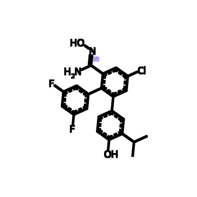 CC(C)c1cc(-c2cc(Cl)cc(/C(N)=N/O)c2-c2cc(F)cc(F)c2)ccc1O